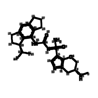 CN[C@@H]1COc2c(S(N)(=O)=NC(=O)Nc3c4c(cc5c3[C@@H](C(F)F)CC5)CCC4)cnn2C1